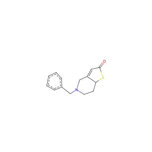 O=C1C=C2CN(Cc3ccccc3)CCC2S1